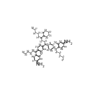 CCCCCC(c1ccc(C(CCC(CCCCC)C2CCCCC2)c2ccc(C(CCCCC)c3ccc(N)cc3C)cc2)cc1)c1ccc(N)cc1C